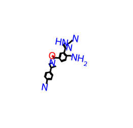 N#Cc1ccc(C2CN(C(=O)c3ccc(CN)c(-c4c[nH]c(C#N)n4)c3)C2)cc1